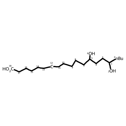 CCCCC(O)CCC(O)CCCCCCCCCCCC(=O)O